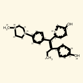 CCC(=C(c1ccc(O)cc1)c1ccc(N2CCN(C)CC2)cc1)c1ccc(O)cc1